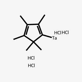 CC1=C(C)C(C)(C)[C]([Ta])=C1C.Cl.Cl.Cl.Cl